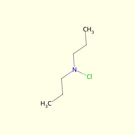 CCCN(Cl)CCC